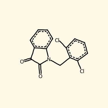 O=C1C(=O)N(Cc2c(Cl)cccc2Cl)c2ccccc21